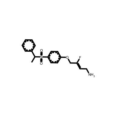 CC(c1ccccc1)S(=O)(=O)c1ccc(OCC(F)=CCN)cc1